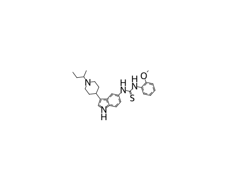 CCC(C)N1CCC(c2c[nH]c3ccc(NC(=S)Nc4ccccc4OC)cc23)CC1